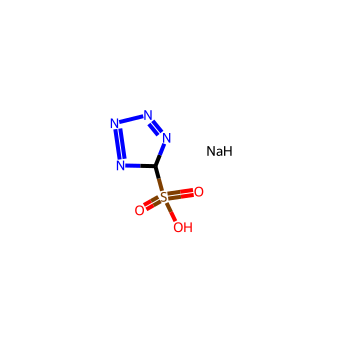 O=S(=O)(O)C1N=NN=N1.[NaH]